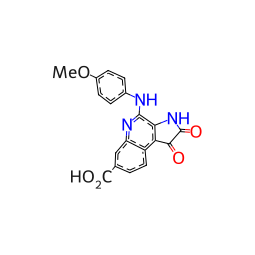 COc1ccc(Nc2nc3cc(C(=O)O)ccc3c3c2NC(=O)C3=O)cc1